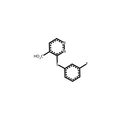 O=C(O)c1ccnnc1Sc1cccc(F)c1